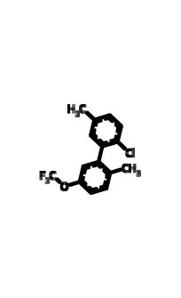 Cc1ccc(Cl)c(-c2cc(OC(F)(F)F)ccc2C)c1